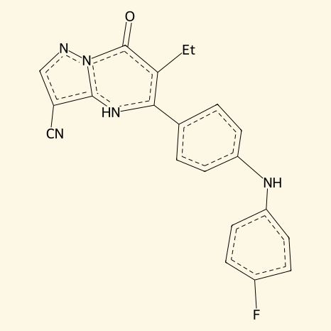 CCc1c(-c2ccc(Nc3ccc(F)cc3)cc2)[nH]c2c(C#N)cnn2c1=O